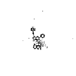 C[C@@H](NC(=O)c1c(N)ncc2cccnc12)c1cc2scc(C#Cc3ccn(C)n3)c2cc1-c1ccccc1